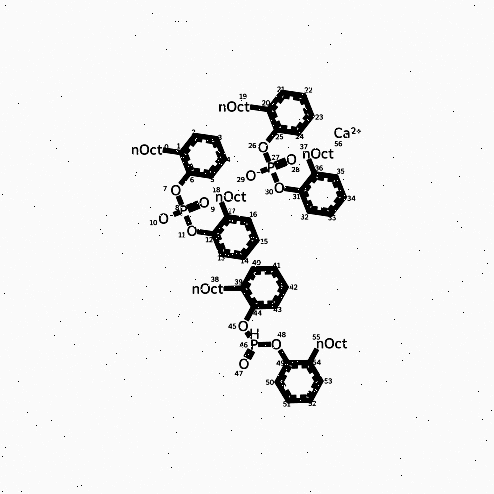 CCCCCCCCc1ccccc1OP(=O)([O-])Oc1ccccc1CCCCCCCC.CCCCCCCCc1ccccc1OP(=O)([O-])Oc1ccccc1CCCCCCCC.CCCCCCCCc1ccccc1O[PH](=O)Oc1ccccc1CCCCCCCC.[Ca+2]